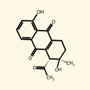 CC(=O)[C@@H]1C2=C(CC[C@@]1(C)O)C(=O)c1c(O)cccc1C2=O